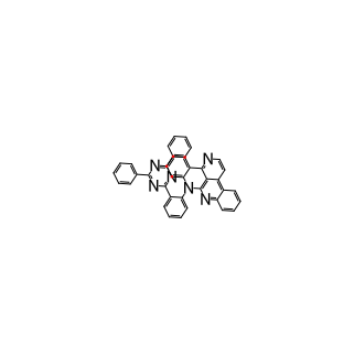 c1ccc(-c2nc(-c3ccccc3)nc(-c3ccccc3N3c4ccccc4-c4nccc5c4c3nc3ccccc35)n2)cc1